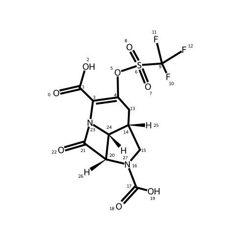 O=C(O)C1=C(OS(=O)(=O)C(F)(F)F)C[C@@H]2CN(C(=O)O)[C@@H]3C(=O)N1[C@H]23